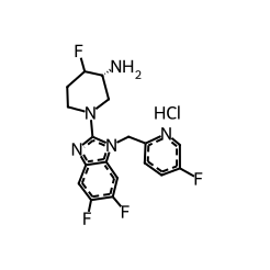 Cl.N[C@@H]1CN(c2nc3cc(F)c(F)cc3n2Cc2ccc(F)cn2)CCC1F